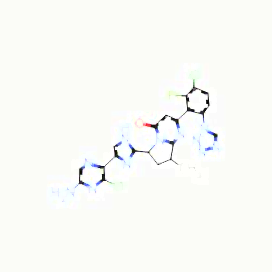 CC1CC(c2nc(-c3ncc(N)nc3Cl)c[nH]2)n2c1nc(-c1c(-n3cnnn3)ccc(Cl)c1F)cc2=O